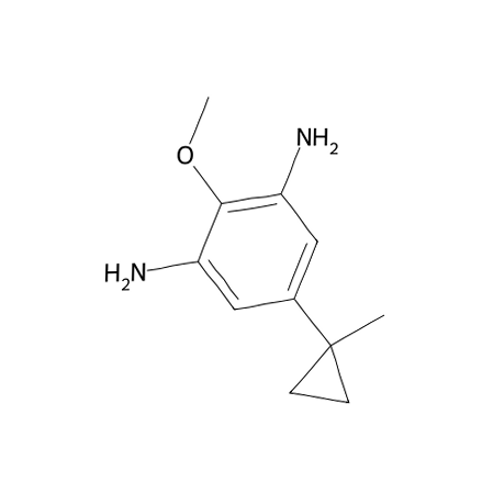 COc1c(N)cc(C2(C)CC2)cc1N